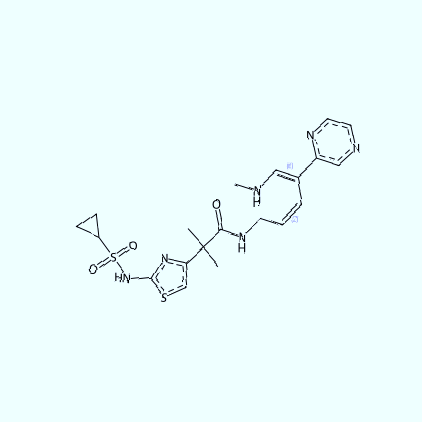 CN/C=C(\C=C/CNC(=O)C(C)(C)c1csc(NS(=O)(=O)C2CC2)n1)c1cnccn1